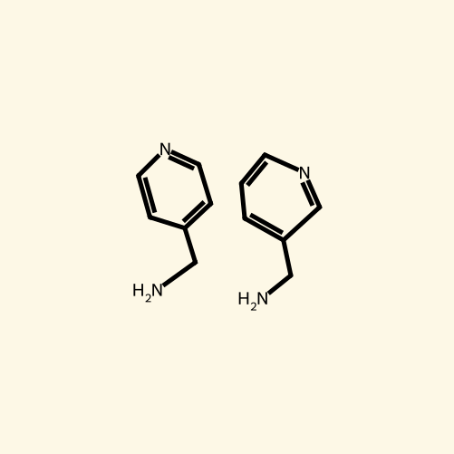 NCc1cccnc1.NCc1ccncc1